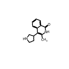 Cc1[nH]c(=O)c2ccccc2c1C1CCNC1